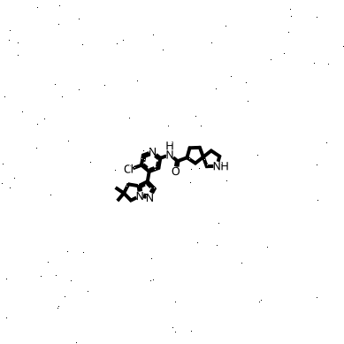 CC1(C)Cc2c(-c3cc(NC(=O)C4CCC5(CCNC5)C4)ncc3Cl)cnn2C1